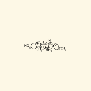 C[C@H]1CC[C@]2(C[C@H]3[C@H](C[C@H]4[C@@H]5CC=C6C[C@@H](O)CC[C@]6(C)[C@H]5CC[C@@]43C)O2)OC1